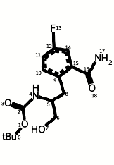 CC(C)(C)OC(=O)NC(CO)Cc1ccc(F)cc1C(N)=O